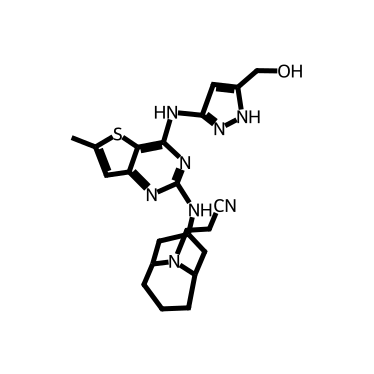 Cc1cc2nc(NC3CC4CCCC(C3)N4CCC#N)nc(Nc3cc(CO)[nH]n3)c2s1